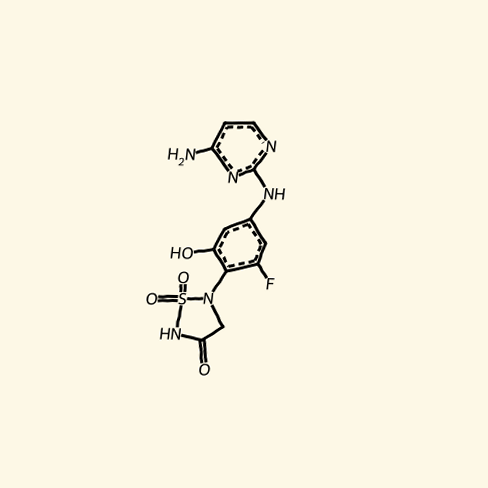 Nc1ccnc(Nc2cc(O)c(N3CC(=O)NS3(=O)=O)c(F)c2)n1